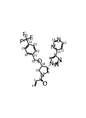 C=CC(=O)N1C[C@@H](n2cc(-c3ccncn3)nn2)[C@H](OCc2ccc(C(F)(F)F)cc2)C1